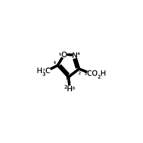 [2H]c1c(C(=O)O)noc1C